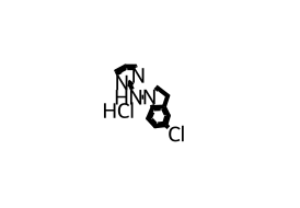 Cl.Clc1ccc2c(c1)CCN2Nc1ncccn1